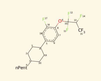 CCCCCC1CCC(c2ccc(OC(F)(F)C(F)C(F)(F)F)c(F)c2)CC1